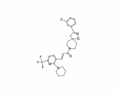 O=C(C=Cc1ccc(C(F)(F)F)nc1N1CCCCC1)N1CCC2(CC1)CC(c1cccc(F)c1)=NO2